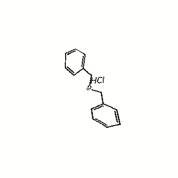 Cl.c1ccc(C[P]Cc2ccccc2)cc1